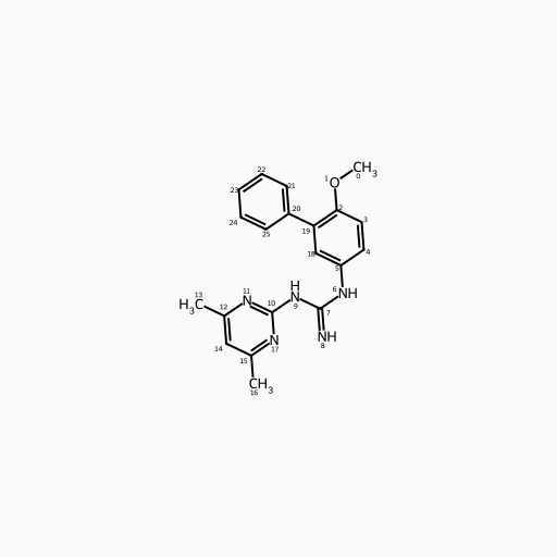 COc1ccc(NC(=N)Nc2nc(C)cc(C)n2)cc1-c1ccccc1